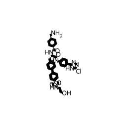 NC[C@H]1CC[C@H](C(=O)N[C@@H](Cc2ccc(-c3ccc(S(=O)(=O)NCCO)cc3)cc2)C(=O)Nc2ccc(-c3nnc(Cl)[nH]3)cc2)CC1